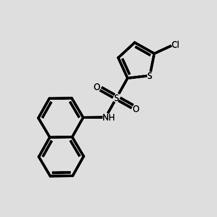 O=S(=O)(Nc1cccc2ccccc12)c1ccc(Cl)s1